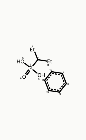 CCC(CC)P(=O)(O)O.c1ccccc1